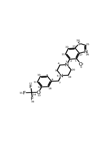 [O]c1c(N2CCN(Cc3cccc(OC(F)(F)F)c3)CC2)ccc2scnc12